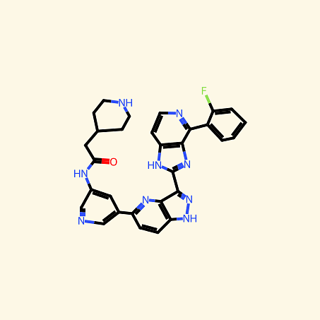 O=C(CC1CCNCC1)Nc1cncc(-c2ccc3[nH]nc(-c4nc5c(-c6ccccc6F)nccc5[nH]4)c3n2)c1